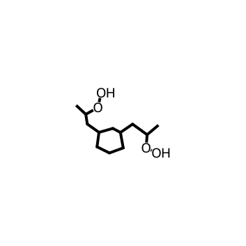 CC(CC1CCCC(CC(C)OO)C1)OO